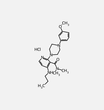 CCCNc1ccnc(N2CCN(c3cccc(OC)c3)CC2)c1C(=O)N(C)C.Cl